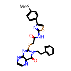 CSc1ccc(-c2csc(NC(=O)CSc3nc4nccnc4c(=O)n3CCc3ccccc3)n2)cc1